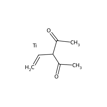 C=CC(C(C)=O)C(C)=O.[Ti]